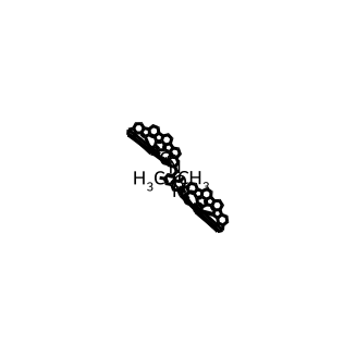 COc1c(CN2C3=C4C5=C6c7c8c9c%10c%11c%12c%13c%14c(c7%11)C6C3C3=C%14C6CCC3C2CCC4C2CCC(C9CCC%10C%12CCC%136)C8C52)cc(C)cc1CN1C2=C3c4c5c6c7c8c9c%10c%11c%12c%13c%14c%10c7c4C%14C2C2=C%13C4CCC2C1CCC3C5CCC6C8CCC9C%11CCC%124